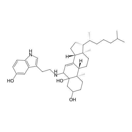 CC(C)CCC[C@@H](C)[C@H]1CC[C@H]2C3=CC(NCCc4c[nH]c5ccc(O)cc45)C4(O)CC(O)CC[C@]4(C)[C@H]3CC[C@]12C